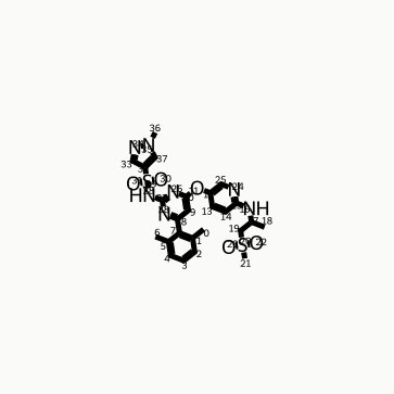 Cc1cccc(C)c1-c1cc(Oc2ccc(NC(C)CS(C)(=O)=O)nc2)nc(NS(=O)(=O)c2cnn(C)c2)n1